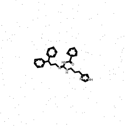 O=C(N/C(=N\CCC(c1ccccc1)c1ccccc1)NCCCc1c[nH]cn1)c1ccccc1